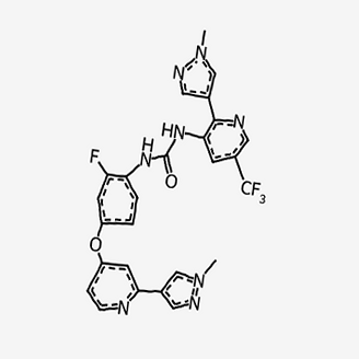 Cn1cc(-c2cc(Oc3ccc(NC(=O)Nc4cc(C(F)(F)F)cnc4-c4cnn(C)c4)c(F)c3)ccn2)cn1